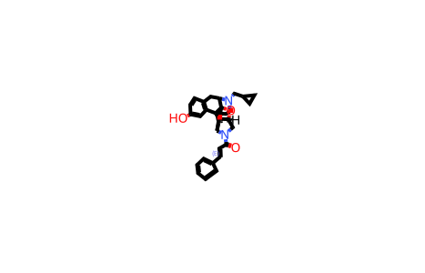 O=C(/C=C/c1ccccc1)N1C[C@H]2OC34CCC1C2C31CCN(CC2CC2)C4Cc2ccc(O)cc21